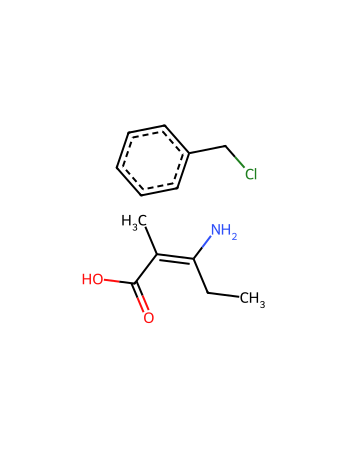 CC/C(N)=C(/C)C(=O)O.ClCc1ccccc1